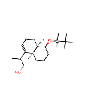 C[C@H](CO)C1=CCC[C@H]2[C@@H](O[Si](C)(C)C(C)(C)C)CCC[C@@]12C